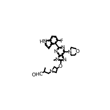 CC(C=O)CN1CC(Oc2nc3c(N4CCOCC4)nc(-c4c(F)ccc5[nH]ccc45)nc3n2C)C1